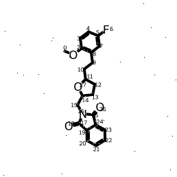 COc1ccc(F)cc1CCC1CCC(CN2C(=O)c3ccccc3C2=O)O1